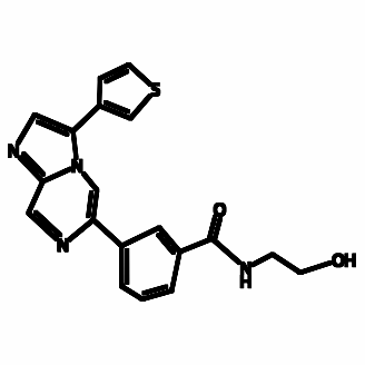 O=C(NCCO)c1cccc(-c2cn3c(-c4ccsc4)cnc3cn2)c1